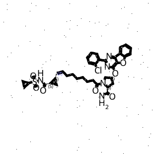 NC(=O)[C@@H]1C[C@@H](Oc2nc(-c3ccccc3Cl)nc3c2oc2ccccc23)CN1C(=O)CCCCCC/C=C\[C@@H]1C[C@@H]1C(=O)NS(=O)(=O)C1CC1